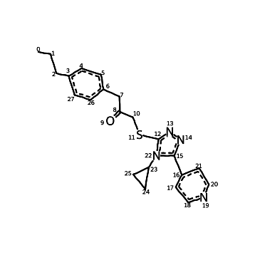 CCCc1ccc(CC(=O)CSc2nnc(-c3ccncc3)n2C2CC2)cc1